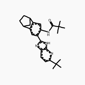 CC(C)(C)C(=O)Nc1cc2c(cc1-c1nc3ccc(C(C)(C)C)nc3[nH]1)C1CCC2C1